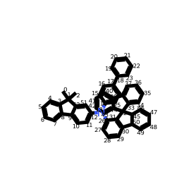 CC1(C)c2ccccc2-c2ccc(N(c3ccc(-c4ccccc4)cc3)c3cccc4c3C3(c5ccccc5-c5ccccc53)C3C=CC=CC43)cc21